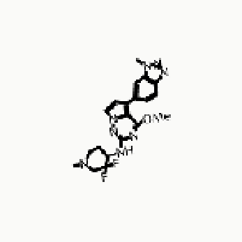 COc1nc(N[C@@H]2CCN(C)CC2(F)F)nn2ccc(-c3ccc4nnn(C)c4c3)c12